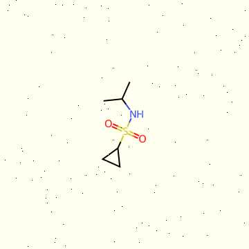 CC(C)NS(=O)(=O)C1CC1